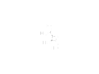 OC[C@@H](O)[C@H]1O[C@@H](CO)[C@H]1O